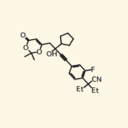 CCC(C#N)(CC)c1ccc(C#CC(O)(CC2=CC(=O)OC(C)(C)O2)C2CCCC2)cc1F